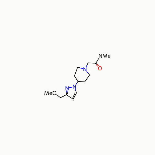 CNC(=O)CN1CCC(n2c[c]c(COC)n2)CC1